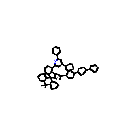 CC1(C)c2ccccc2C2(C3=C(C=C(c4ccc(C5=CC=C(c6ccccc6)CC5)cc4)CC3)c3c(-c4cc(C5=CCCCC5)cc(-c5ccccc5)n4)cccc32)c2ccccc21